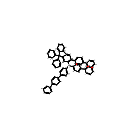 c1ccc(-c2ccc(-c3ccc(N(c4ccc(-c5ccccc5)cc4)c4cc5c(cc4-c4ccc(-c6ccccc6)cc4)-c4ccccc4C5(c4ccccc4)c4ccccc4)cc3)cc2)cc1